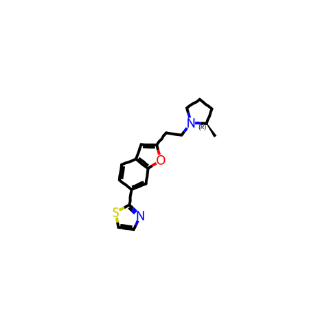 C[C@@H]1CCCN1CCc1cc2ccc(-c3nccs3)cc2o1